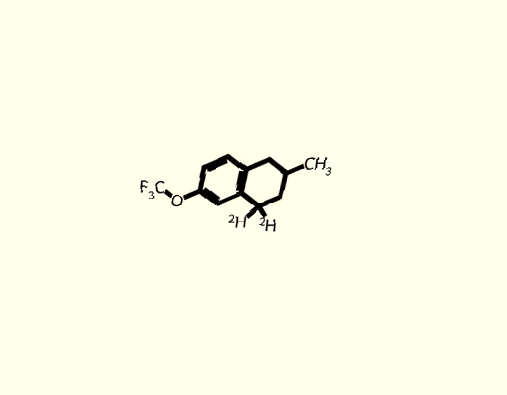 [2H]C1([2H])CC(C)Cc2ccc(OC(F)(F)F)cc21